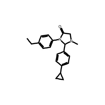 CCc1ccc(N2C(=O)CN(C)C2c2ccc(C3CC3)cc2)cc1